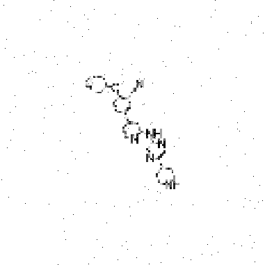 N#Cc1cc(-c2ccnc(Nc3cnc(C4CCNCC4)cn3)c2)ccc1OC1CCOCC1